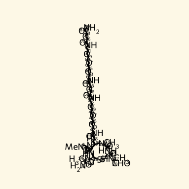 CNCC(=O)N[C@@H]1C(=O)N[C@H](C(=O)N[C@@H](C)C(N)=O)CSSC[C@@H](C(=O)N[C@@H](C)C=O)NC(=O)[C@H](C)NCC1SCC(=O)NCCOCCOCCOCCNC(=O)COCC(=O)NCCOCCOCCOCCNC(=O)COCC(N)=O